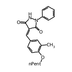 CCCCCOc1ccc(C=C2C(=O)NN(c3ccccc3)C2=O)cc1C